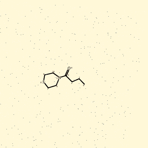 CCCC(=O)N1CCSCC1